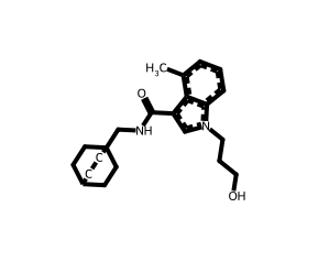 Cc1cccc2c1c(C(=O)NCC13CCC(CC1)CC3)cn2CCCO